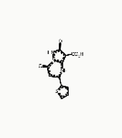 O=C(O)c1c(=O)[nH]n2c(=O)cc(-c3cccs3)[nH]c12